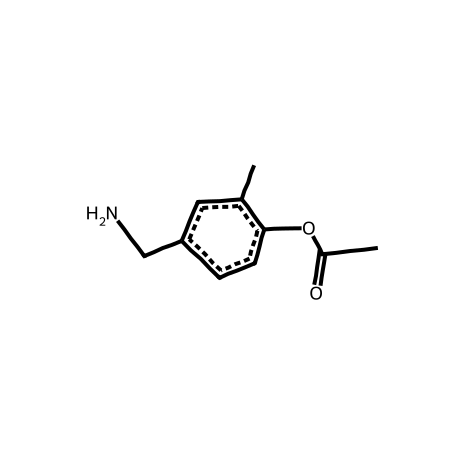 CC(=O)Oc1ccc(CN)cc1C